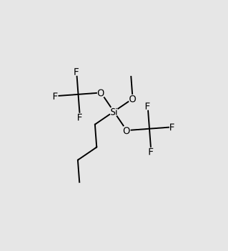 CCCC[Si](OC)(OC(F)(F)F)OC(F)(F)F